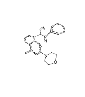 CC(Nc1ccccc1)c1cccn2c(=O)cc(N3CCOCC3)nc12